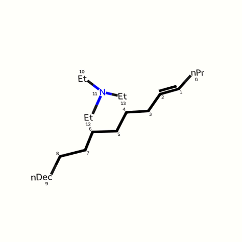 CCCC=CCCCCCCCCCCCCCCCC.CCN(CC)CC